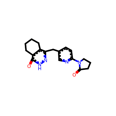 O=C1CCCN1c1ccc(Cc2n[nH]c(=O)c3c2CCCC3)cn1